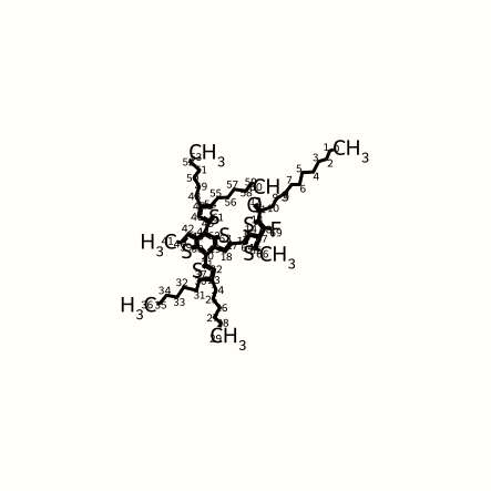 CCCCCCCCCCCC(=O)c1sc2c(-c3cc4c(-c5cc(CCCCCC)c(CCCCCC)s5)c5sc(C)cc5c(-c5cc(CCCCCC)c(CCCCCC)s5)c4s3)sc(C)c2c1F